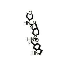 C[C@H](NC(=O)N1CCc2cnc(NC3CCOCC3)nc2C1)c1ccc2cc[nH]c2c1